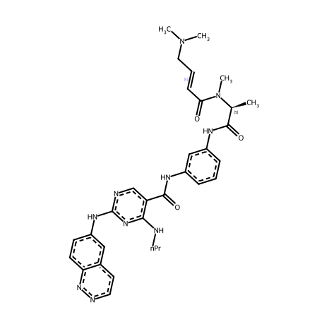 CCCNc1nc(Nc2ccc3nnccc3c2)ncc1C(=O)Nc1cccc(NC(=O)[C@H](C)N(C)C(=O)/C=C/CN(C)C)c1